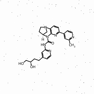 Cc1cc(-c2ccc3c(n2)N(C(=O)Nc2cc(CC[C@@H](O)CO)ccn2)[C@H]2CCN3C2)ccn1